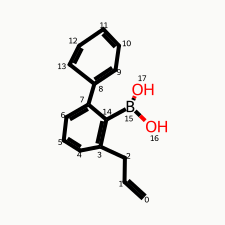 C=CCc1cccc(-c2ccccc2)c1B(O)O